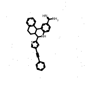 N=C(N)c1ccc2c(c1)C1c3ccccc3CCC1C(c1cc(C#Cc3ccccc3)cs1)N2